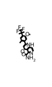 COc1cc(-c2cc(=O)c3c(C(N)=O)nccc3[nH]2)c(C)cc1C(C)(C)C(F)(F)F